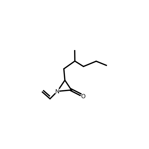 C=CN1C(=O)C1CC(C)CCC